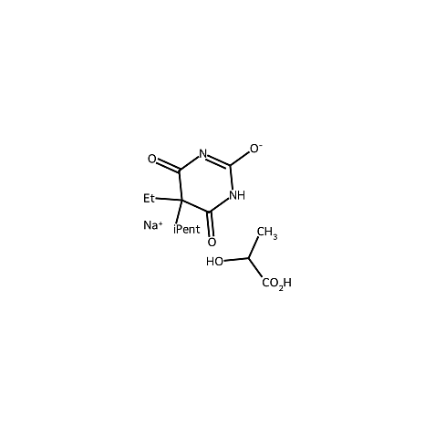 CC(O)C(=O)O.CCCC(C)C1(CC)C(=O)N=C([O-])NC1=O.[Na+]